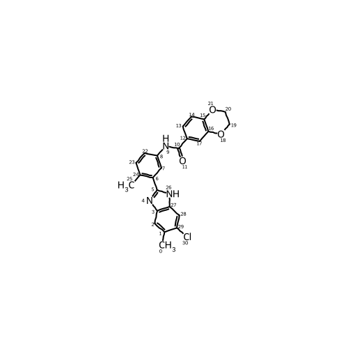 Cc1cc2nc(-c3cc(NC(=O)c4ccc5c(c4)OCCO5)ccc3C)[nH]c2cc1Cl